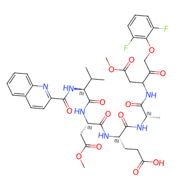 COC(=O)CC(NC(=O)[C@H](C)NC(=O)[C@H](CCC(=O)O)NC(=O)[C@H](CC(=O)OC)NC(=O)[C@@H](NC(=O)c1ccc2ccccc2n1)C(C)C)C(=O)COc1c(F)cccc1F